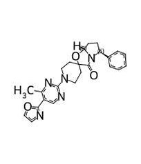 Cc1nc(N2CCC3(CC2)O[C@@H]2CC[C@@H](c4ccccc4)N2C3=O)ncc1-c1ncco1